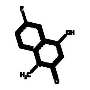 Cn1c(=O)cc(O)c2cc(F)ccc21